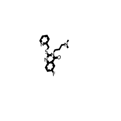 CN(C)CCCn1c(SCc2ccccn2)nc2ccc(F)cc2c1=O